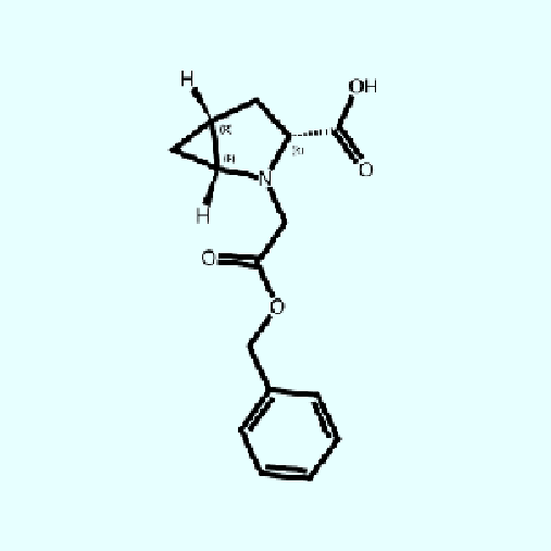 O=C(CN1[C@@H](C(=O)O)C[C@H]2C[C@H]21)OCc1ccccc1